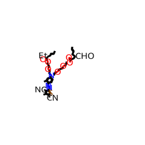 C/C=C/CC(C=O)CC(=O)OCCOCCOCCN(CCOCCOC(=O)C(CC)C/C=C/C)c1ccc(/N=N/c2sc(C#N)c(C)c2C#N)c(C)c1